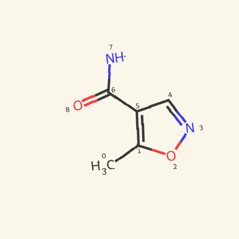 Cc1oncc1C([NH])=O